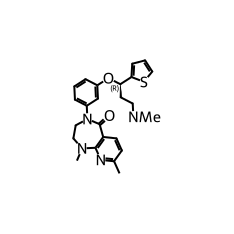 CNCC[C@@H](Oc1cccc(N2CCN(C)c3nc(C)ccc3C2=O)c1)c1cccs1